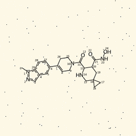 Cn1ncc2cc(C3=CCN(C(=O)C4NCC5(CC5)CC4C(=O)NO)CC3)ccc21